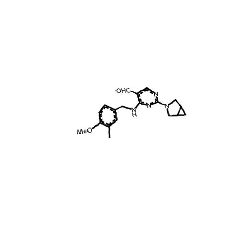 COc1ccc(CNc2nc(N3CC4CC4C3)ncc2[C]=O)cc1C